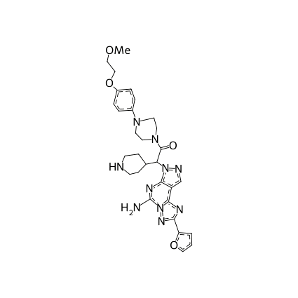 COCCOc1ccc(N2CCN(C(=O)C(C3CCNCC3)n3ncc4c3nc(N)n3nc(-c5ccco5)nc43)CC2)cc1